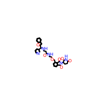 O=C(CCNC(c1cccnc1)c1cc2ccccc2o1)NCCOCc1cccc2c1C(=O)N(C1CCC(=O)NC1=O)C2=O